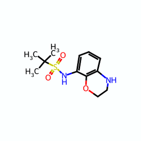 CC(C)(C)S(=O)(=O)Nc1cccc2c1OCCN2